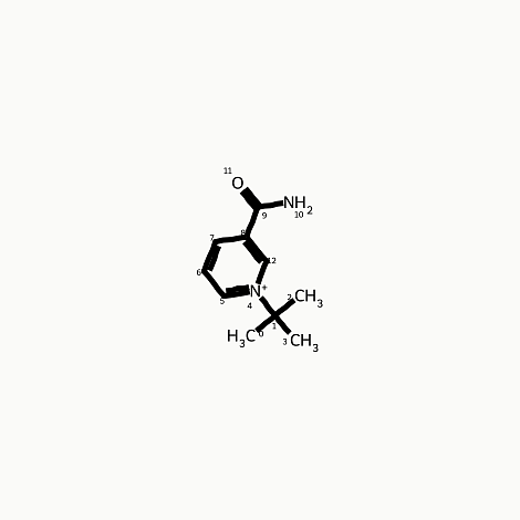 CC(C)(C)[n+]1cccc(C(N)=O)c1